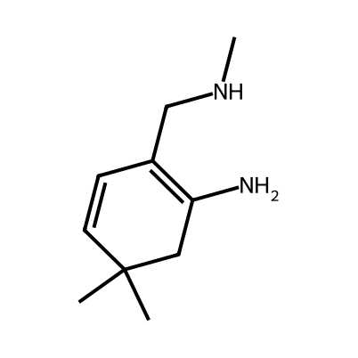 CNCC1=C(N)CC(C)(C)C=C1